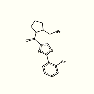 CC(=O)c1ccccc1-c1nc(C(=O)N2CCCC2CC(C)C)cs1